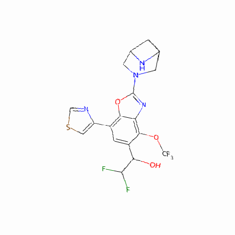 OC(c1cc(-c2cscn2)c2oc(N3CC4CC(C3)N4)nc2c1OC(F)(F)F)C(F)F